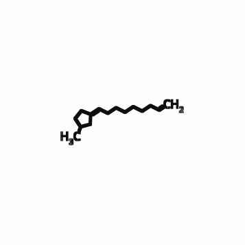 C=CCCCCCCC=C1CCC(C)C1